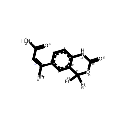 CCC/C(=C/C(N)=O)c1ccc2c(c1)C(CC)(CC)OC(=O)N2